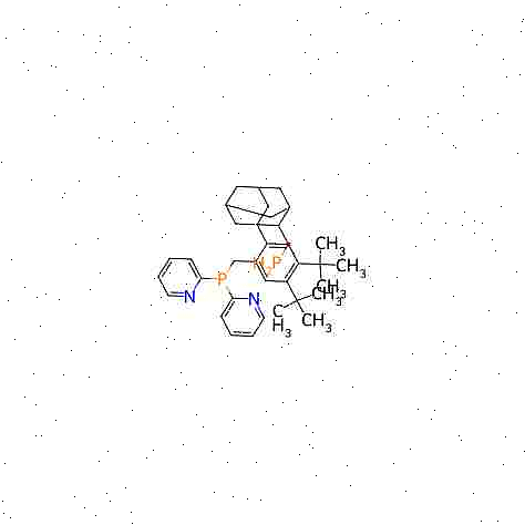 CC(C)(C)c1cc(CP(c2ccccn2)c2ccccn2)c(C23CC4CC(CC(C4)C2CP)C3)cc1C(C)(C)C